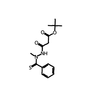 CN(NC(=O)CC(=O)OC(C)(C)C)C(=S)c1ccccc1